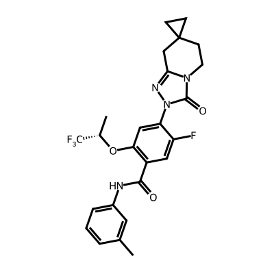 Cc1cccc(NC(=O)c2cc(F)c(-n3nc4n(c3=O)CCC3(CC3)C4)cc2O[C@@H](C)C(F)(F)F)c1